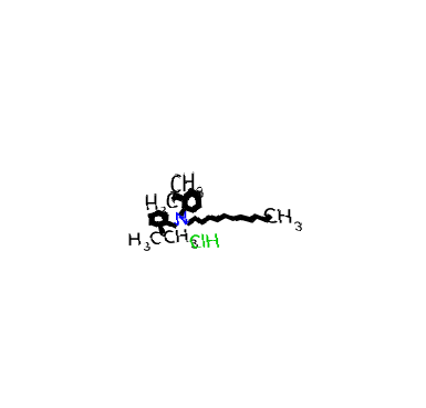 CCCCCCCCCCCCN(Cc1ccccc1C(C)C)Cc1ccccc1C(C)C.Cl